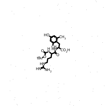 Cc1cc(O)cc(C)c1CC(NC(=O)C(CCCNC(=N)N)NC(=O)OC(C)(C)C)C(=O)O